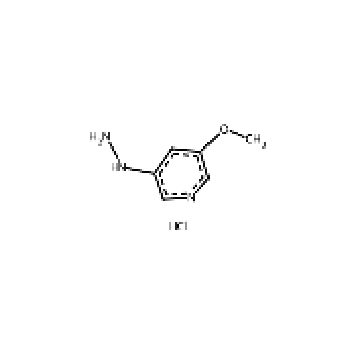 COc1cncc(NN)c1.Cl